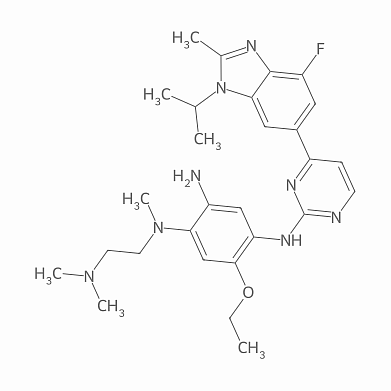 CCOc1cc(N(C)CCN(C)C)c(N)cc1Nc1nccc(-c2cc(F)c3nc(C)n(C(C)C)c3c2)n1